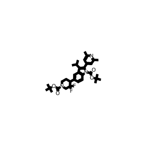 Cc1cc(-c2c(C(C)C)c3cc(C4CCN(C(=O)OC(C)(C)C)CC4(F)F)ccc3n2C(=O)OC(C)(C)C)cc(C)n1